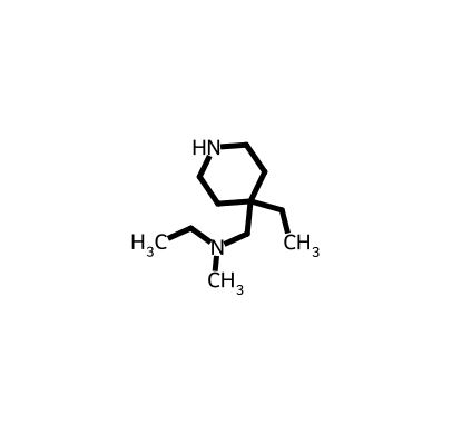 CCN(C)CC1(CC)CCNCC1